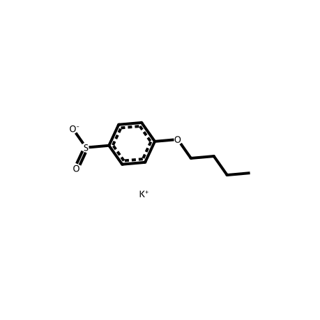 CCCCOc1ccc(S(=O)[O-])cc1.[K+]